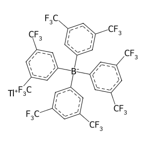 FC(F)(F)c1cc([B-](c2cc(C(F)(F)F)cc(C(F)(F)F)c2)(c2cc(C(F)(F)F)cc(C(F)(F)F)c2)c2cc(C(F)(F)F)cc(C(F)(F)F)c2)cc(C(F)(F)F)c1.[Tl+]